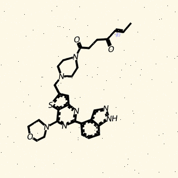 C/C=C/C(=O)CCC(=O)N1CCN(Cc2cc3nc(-c4cccc5[nH]ncc45)nc(N4CCOCC4)c3s2)CC1